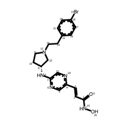 O=C(/C=C/c1cnc(N[C@@H]2CCN(CCc3ccc(Br)cc3)C2)cn1)NO